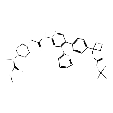 COC(=O)N(C)[C@H]1CC[C@H](CC(=O)Nc2cc(-c3ccccn3)c(-c3ccc(C4(NC(=O)OC(C)(C)C)CCC4)cc3)cn2)CC1